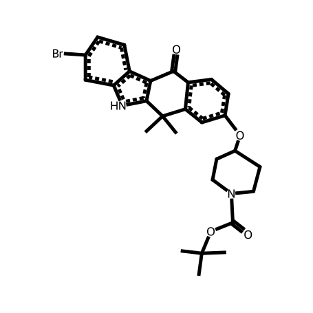 CC(C)(C)OC(=O)N1CCC(Oc2ccc3c(c2)C(C)(C)c2[nH]c4cc(Br)ccc4c2C3=O)CC1